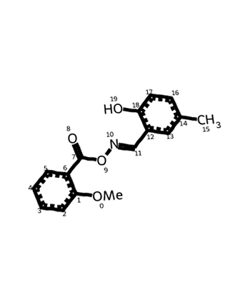 COc1ccccc1C(=O)O/N=C/c1cc(C)ccc1O